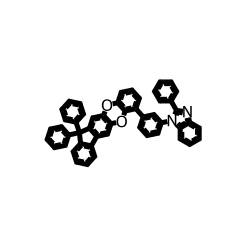 c1ccc(-c2nc3ccccc3n2-c2cccc(-c3cccc4c3Oc3cc5c(cc3O4)C(c3ccccc3)(c3ccccc3)c3ccccc3-5)c2)cc1